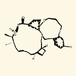 C[C@@H]1[C@@H](C)C/C=C/C[C@@H]2CC[C@H]2CN2Cc3ccc(Cl)cc3CCCCOc3ccc(cc32)C(=O)/N=[SH]\1=O